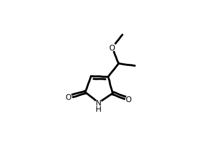 COC(C)C1=CC(=O)NC1=O